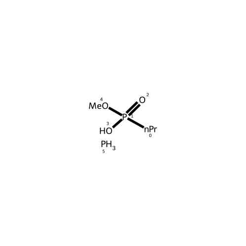 CCCP(=O)(O)OC.P